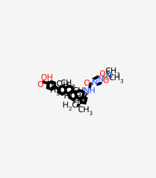 C=C(C)[C@@H]1CC[C@]2(CNCC(=O)N3CCN(S(=O)(=O)N(C)C)CC3)CC[C@]3(C)[C@H](CC[C@@H]4[C@@]5(C)CC=C(c6ccc(C(=O)O)cc6)C(C)(C)[C@@H]5CC[C@]43C)[C@@H]12